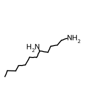 CCCCCCCC(N)CCCCN